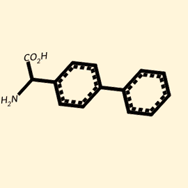 NC(C(=O)O)c1ccc(-c2ccccc2)cc1